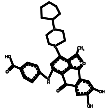 Cc1oc2c3c(c(Nc4ccc(C(=O)O)cc4)cc(N4CCN(C5CCCCC5)CC4)c13)C(=O)c1cc(O)c(O)cc1-2